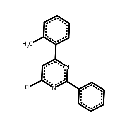 Cc1ccccc1-c1cc(Cl)nc(-c2ccccc2)n1